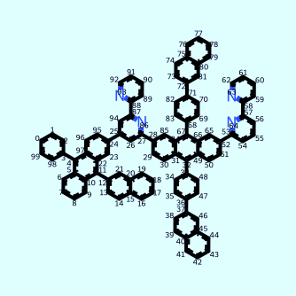 c1ccc(-c2c3ccccc3c(-c3ccc4ccccc4c3)c3cc(-c4cc(-c5ccc6c(-c7ccc(-c8ccc9ccccc9c8)cc7)c7ccc(-c8cccc(-c9ccccn9)n8)cc7c(-c7ccc(-c8ccc9ccccc9c8)cc7)c6c5)nc(-c5ccccn5)c4)ccc23)cc1